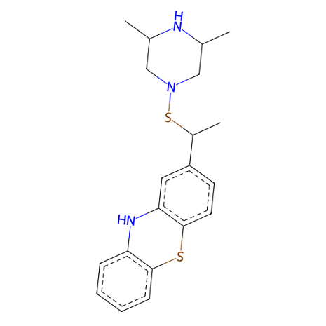 CC1CN(SC(C)c2ccc3c(c2)Nc2ccccc2S3)CC(C)N1